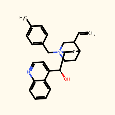 C=CC1C[N+]2(Cc3ccc(C)cc3)CCC1CC2[C@@H](O)c1ccnc2ccccc12